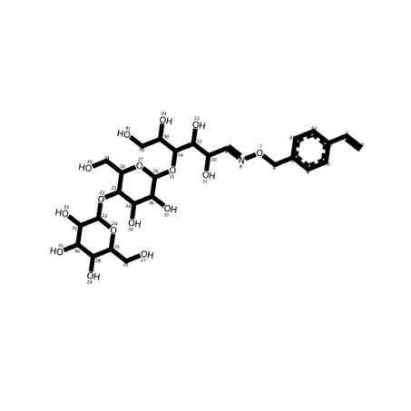 C=Cc1ccc(CON=CC(O)C(O)C(OC2OC(CO)C(OC3OC(CO)C(O)C(O)C3O)C(O)C2O)C(O)CO)cc1